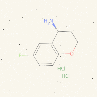 Cl.Cl.N[C@H]1CCOc2ccc(F)cc21